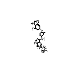 Cc1cc(Nc2ncnc3cnc(S(C)(=O)=O)nc23)ccc1Oc1cc(F)c2c(c1)ncn2C